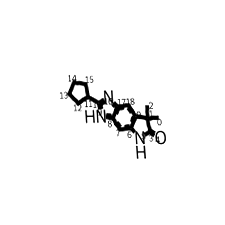 CC1(C)C(=O)Nc2cc3[nH]c(C4CCCC4)nc3cc21